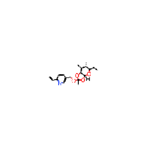 C=Cc1ccc(COC2(C)OC3[C@H](OC(CC)[C@@H](C)[C@@H]3C)O2)cn1